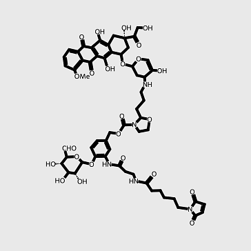 COc1cccc2c1C(=O)c1c(O)c3c(c(O)c1C2=O)C[C@@](O)(C(=O)CO)CC3OC1CC(NCCCC2OCCN2C(=O)OCc2ccc(OC3OC(C=O)[C@@H](O)C(O)[C@H]3O)c(NC(=O)CCNC(=O)CCCCCN3C(=O)C=CC3=O)c2)C(O)=CO1